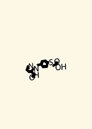 O=Cc1cccnc1NCc1ccc(SCC(=O)O)cc1